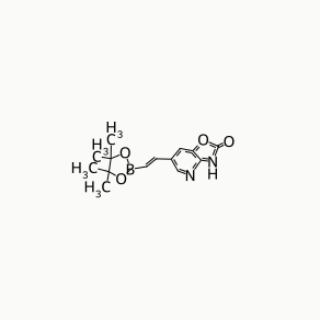 CC1(C)OB(/C=C/c2cnc3[nH]c(=O)oc3c2)OC1(C)C